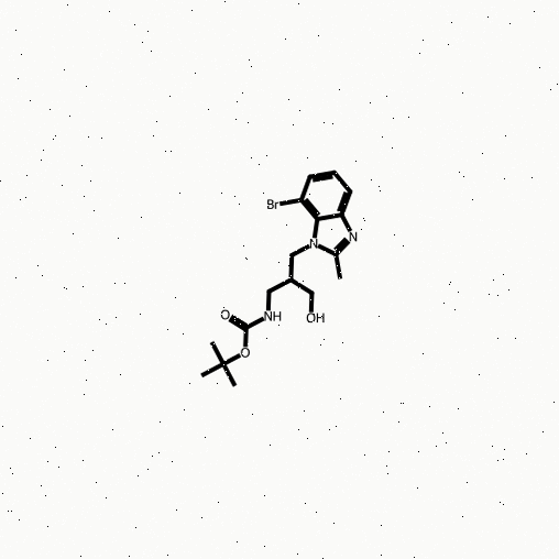 Cc1nc2cccc(Br)c2n1CC(CO)CNC(=O)OC(C)(C)C